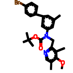 COc1c(C)cnc(CN(C(=O)OC(C)(C)C)c2cc(C)cc(-c3ccc(Br)cc3)c2)c1C